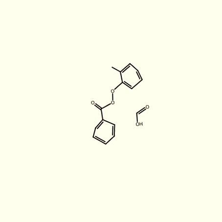 Cc1ccccc1OOC(=O)c1ccccc1.O=CO